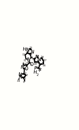 Cc1cc(-c2nnc(C(=O)N3CCc4[nH]cnc4[C@H]3c3cc4c(C(F)P)cccn4n3)o2)nn1C